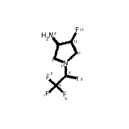 NC1CN(C(I)C(F)(F)F)CC1F